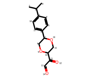 CC(C)c1ccc(C2COC(C(=O)C=O)CO2)cc1